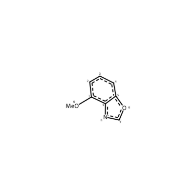 COc1cccc2o[c]nc12